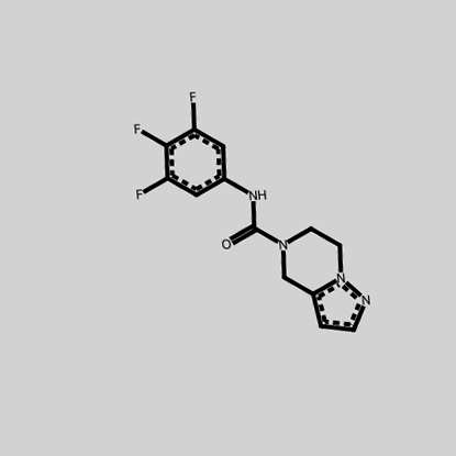 O=C(Nc1cc(F)c(F)c(F)c1)N1CCn2nccc2C1